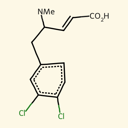 CNC(C=CC(=O)O)Cc1ccc(Cl)c(Cl)c1